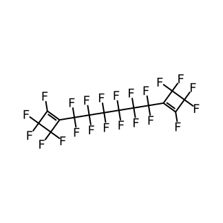 FC1=C(C(F)(F)C(F)(F)C(F)(F)C(F)(F)C(F)(F)C(F)(F)C2=C(F)C(F)(F)C2(F)F)C(F)(F)C1(F)F